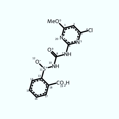 COc1cc(Cl)nc(NC(=O)N[S+]([O-])c2ccccc2C(=O)O)n1